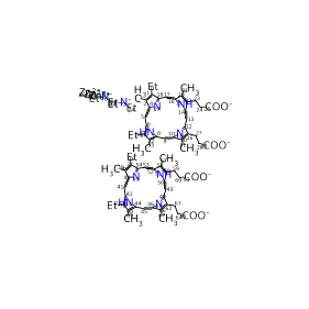 CCC1=C(C)c2cc3[nH]c(cc4nc(cc5[nH]c(cc1n2)c(C)c5CCC(=O)[O-])C(CCC(=O)[O-])=C4C)c(C)c3CC.CCC1=C(C)c2cc3[nH]c(cc4nc(cc5[nH]c(cc1n2)c(C)c5CCC(=O)[O-])C(CCC(=O)[O-])=C4C)c(C)c3CC.CC[N-]CC.CC[N-]CC.[Zn+2].[Zn+2].[Zn+2]